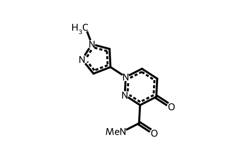 CNC(=O)c1nn(-c2cnn(C)c2)ccc1=O